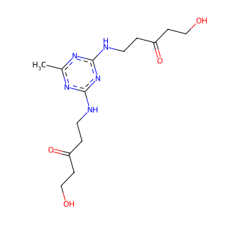 Cc1nc(NCCC(=O)CCO)nc(NCCC(=O)CCO)n1